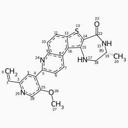 C=Cc1cc(-c2ccc3c(ccc4sc5c(c43)NC[C@@H](C)NC5=O)n2)c(OC)cn1